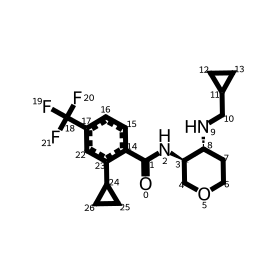 O=C(N[C@@H]1COCC[C@H]1NCC1CC1)c1ccc(C(F)(F)F)cc1C1CC1